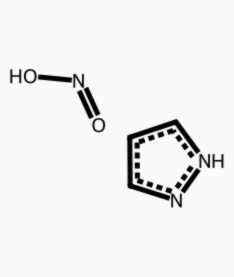 O=NO.c1cn[nH]c1